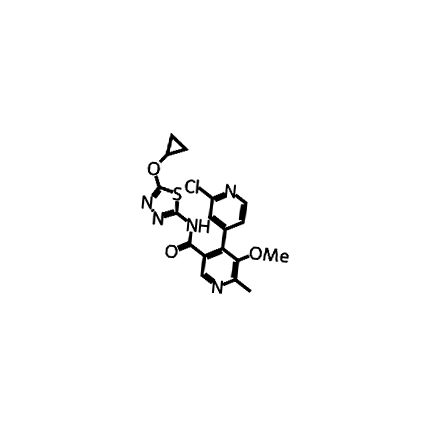 COc1c(C)ncc(C(=O)Nc2nnc(OC3CC3)s2)c1-c1ccnc(Cl)c1